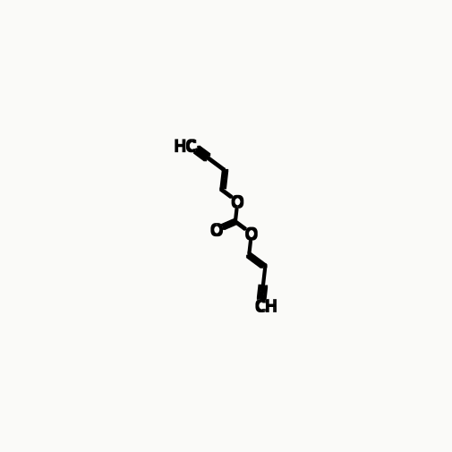 C#CC=COC(=O)OC=CC#C